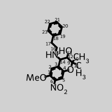 COc1cc2c(cc1[N+](=O)[O-])OC(C)(C)C(O)C2NCCc1ccccc1